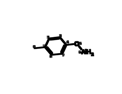 Cc1ccc([O][AlH2])cc1